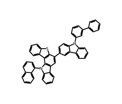 c1ccc(-c2cccc(-n3c4ccccc4c4cc(-c5cc6c7ccccc7n(-c7cccc8ccccc78)c6c6c5sc5ccccc56)ccc43)c2)cc1